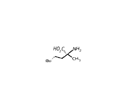 CC[C@@H](C)CC[C@](C)(N)C(=O)O